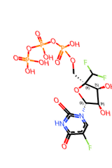 O=c1[nH]c(=O)n([C@@H]2O[C@@](COP(=O)(O)OP(=O)(O)OP(=O)(O)O)(C(F)F)[C@@H](O)[C@H]2O)cc1F